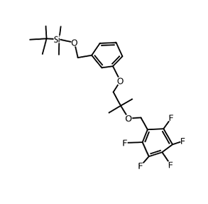 CC(C)(COc1cccc(CO[Si](C)(C)C(C)(C)C)c1)OCc1c(F)c(F)c(F)c(F)c1F